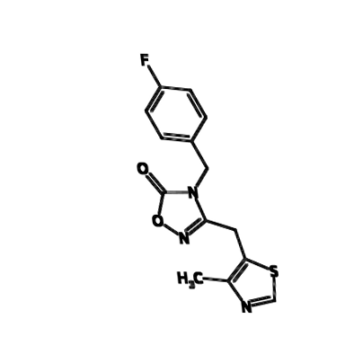 Cc1ncsc1Cc1noc(=O)n1Cc1ccc(F)cc1